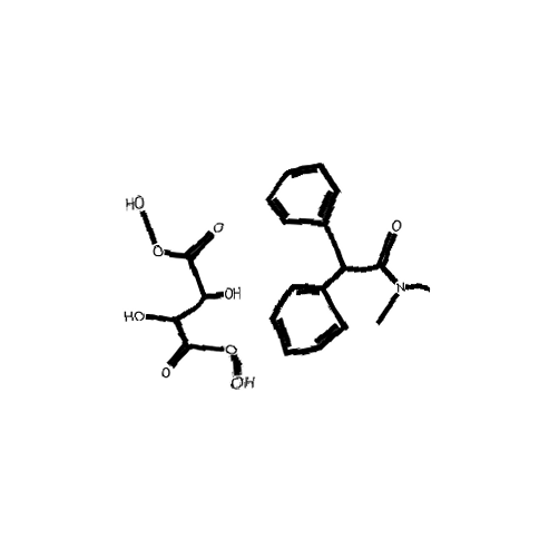 CN(C)C(=O)C(c1ccccc1)c1ccccc1.O=C(OO)C(O)C(O)C(=O)OO